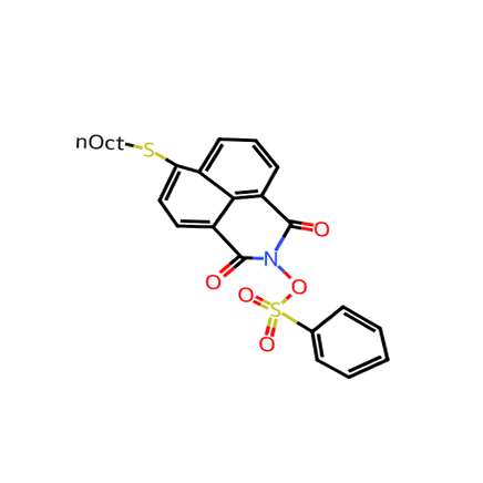 CCCCCCCCSc1ccc2c3c(cccc13)C(=O)N(OS(=O)(=O)c1ccccc1)C2=O